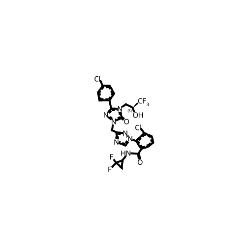 O=C(NC1CC1(F)F)c1cccc(Cl)c1-n1cnc(Cn2nc(-c3ccc(Cl)cc3)n(C[C@H](O)C(F)(F)F)c2=O)n1